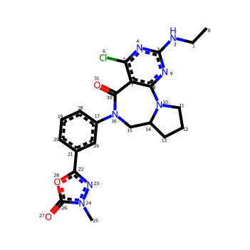 CCNc1nc(Cl)c2c(n1)N1CCCC1CN(c1cccc(-c3nn(C)c(=O)o3)c1)C2=O